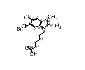 Cc1n(C)c2cc(Cl)c(Cl)cc2[n+]1CCCCCC(=O)O.[Br-]